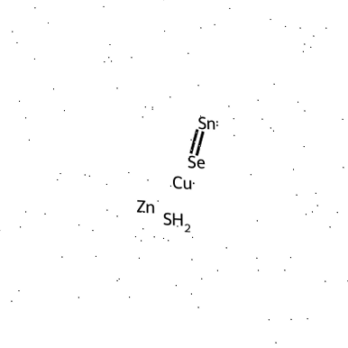 S.[Cu].[Se]=[Sn].[Zn]